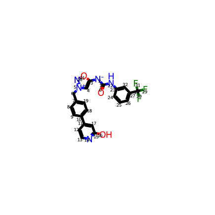 O=C([N-]c1c[n+](Cc2ccc(-c3ccnc(O)c3)cc2)no1)Nc1cccc(C(F)(F)F)c1